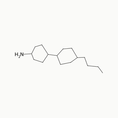 CCCCC1CCC(C2CCC(N)CC2)CC1